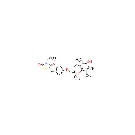 Cc1c(C)c2c(c(C)c1O)CCC(C)(COc1ccc(CC3SC(=O)N(CC(=O)O)C3=O)cc1)O2